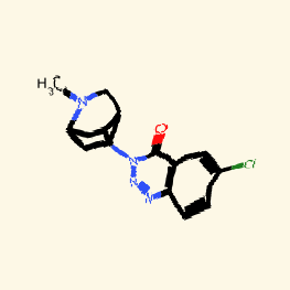 CN1CC2CCC1CC2n1nnc2ccc(Cl)cc2c1=O